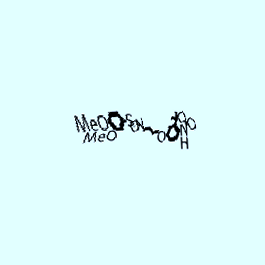 COc1ccc(SON=CCCCOc2ccc3c(c2)C(C)(C)OC(=O)N3)cc1OC